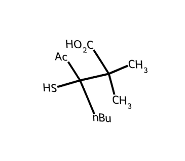 CCCCC(S)(C(C)=O)C(C)(C)C(=O)O